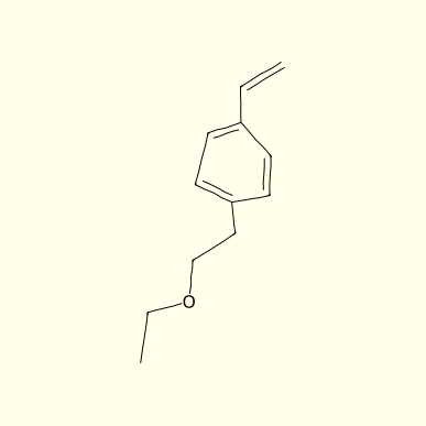 C=Cc1ccc(CCOCC)cc1